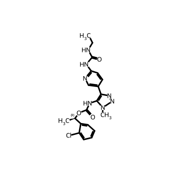 CCNC(=O)Nc1ccc(-c2nnn(C)c2NC(=O)O[C@H](C)c2ccccc2Cl)cn1